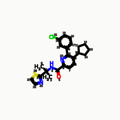 CC(C)(NC(=O)c1ccc(C2CCCC2)c(-c2cccc(Cl)c2)n1)c1nccs1